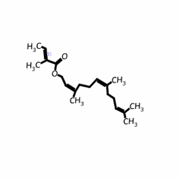 C/C=C(\C)C(=O)OCC=C(C)CCC=C(C)CCC=C(C)C